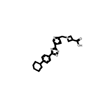 O=C(O)C1CN(Cc2cc(-c3noc(-c4ccc(C5CCCCC5)cc4)n3)cs2)C1